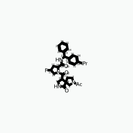 CC(=O)N1CCC2(C1)C(=O)NCC2C(=O)N1CC(F)CC1C(=O)NC(c1ccccc1)c1ccc(C(C)C)cc1